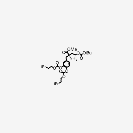 COC(=O)[C@@](N)(CCOC(=O)OCC(C)C)Cc1ccc(OC(=O)OCCC(C)C)c(OC(=O)OCCC(C)C)c1